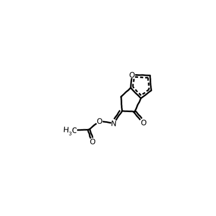 CC(=O)O/N=C1\Cc2occc2C1=O